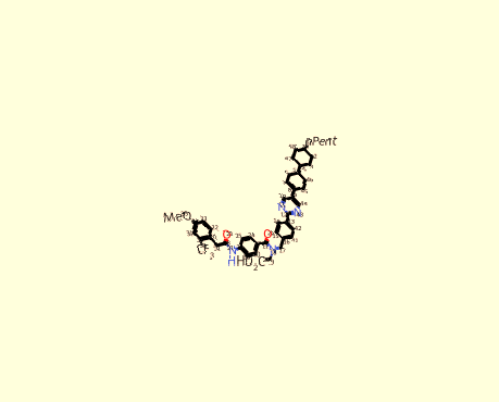 CCCCCC1CCC(C2CC=C(c3cnc(-c4ccc(CN(CC(=O)O)C(=O)c5ccc(NC(=O)Cc6ccc(OC)cc6C(F)(F)F)cc5)cc4)nc3)CC2)CC1